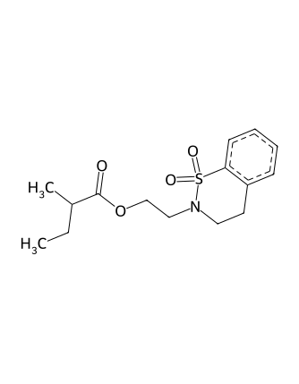 CCC(C)C(=O)OCCN1CCc2ccccc2S1(=O)=O